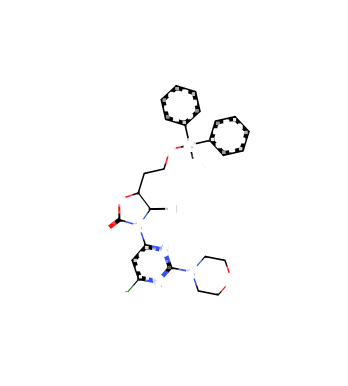 CC1C(CCO[Si](c2ccccc2)(c2ccccc2)C(C)(C)C)OC(=O)N1c1cc(Cl)nc(N2CCOCC2)n1